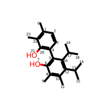 Cc1ccc(-c2c(O)c(C)c(C)c(C(C)C)c2C(C)C)c(O)c1C